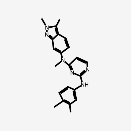 Cc1ccc(Nc2nccc(N(C)c3ccc4c(C)n(C)nc4c3)n2)cc1C